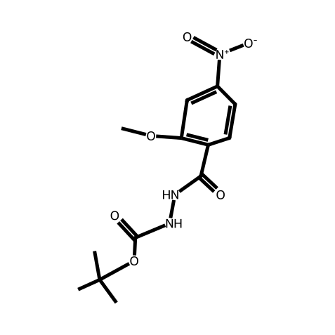 COc1cc([N+](=O)[O-])ccc1C(=O)NNC(=O)OC(C)(C)C